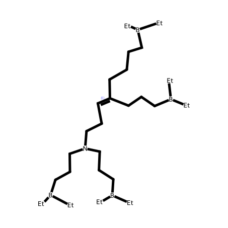 CCB(CC)CCCC/C(=C/CCN(CCCB(CC)CC)CCCB(CC)CC)CCCB(CC)CC